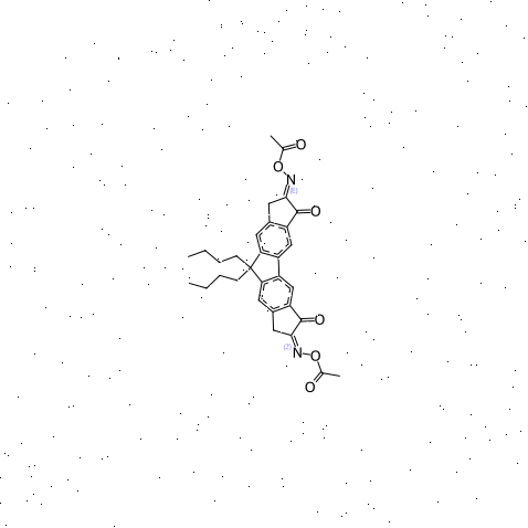 CCCCC1(CCCC)c2cc3c(cc2-c2cc4c(cc21)C/C(=N\OC(C)=O)C4=O)C(=O)/C(=N\OC(C)=O)C3